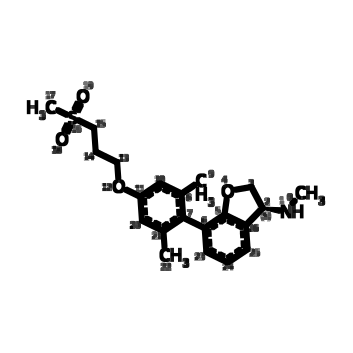 CN[C@@H]1COc2c(-c3c(C)cc(OCCCS(C)(=O)=O)cc3C)cccc21